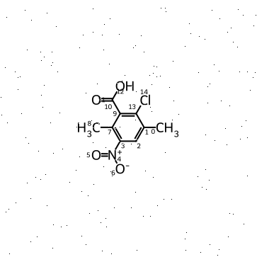 Cc1cc([N+](=O)[O-])c(C)c(C(=O)O)c1Cl